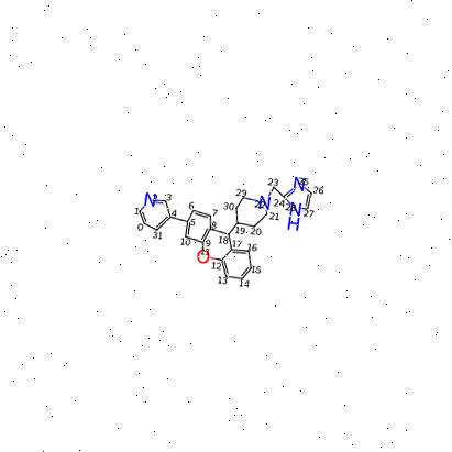 c1cncc(-c2ccc3c(c2)Oc2ccccc2C3C2CCN(Cc3ncc[nH]3)CC2)c1